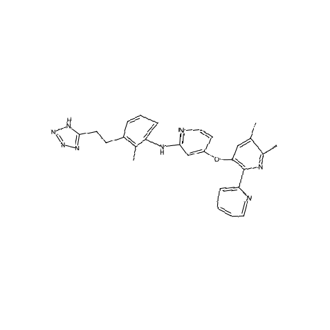 Cc1cc(Oc2ccnc(Nc3cccc(CCc4nnn[nH]4)c3C)c2)c(-c2ccccn2)nc1C